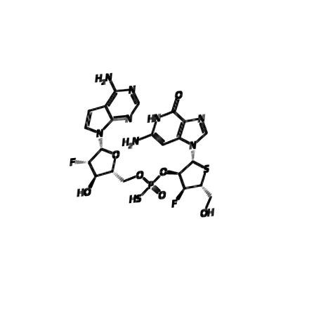 Nc1cc2c(ncn2[C@@H]2S[C@H](CO)[C@@H](F)[C@H]2OP(=O)(S)OC[C@H]2O[C@@H](n3ccc4c(N)ncnc43)[C@@H](F)[C@@H]2O)c(=O)[nH]1